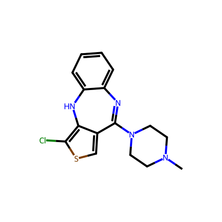 CN1CCN(C2=Nc3ccccc3Nc3c2csc3Cl)CC1